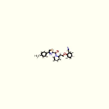 Cc1ccc(-c2csc(C(=O)N3CCCCC3CCOc3ccccc3C#N)n2)cc1